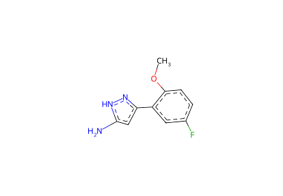 COc1ccc(F)cc1-c1cc(N)[nH]n1